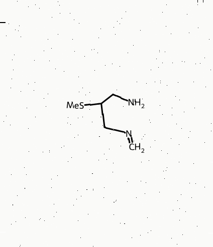 C=NCC(CN)SC